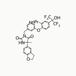 CCCc1cc(C(O)(C(F)(F)F)C(F)(F)F)ccc1Oc1cncc(CN2C(=O)NC(C)(c3ccc4c(c3)CCO4)C2=O)c1